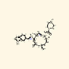 C/C(=C\c1ccc2cn[nH]c2c1)[C@H]1OC(=O)C[C@H](O)CC[C@H](C)[C@@H](OC(=O)N2CCN(C)CC2)/C=C/[C@@H]1C